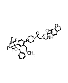 CC=Cc1cc(C(OCc2ccccc2)(C(F)(F)F)C(F)(F)F)ccc1N1CCN(C(=O)CN2CNC(C)(c3ccc4c(c3)OCC4)C2)CC1